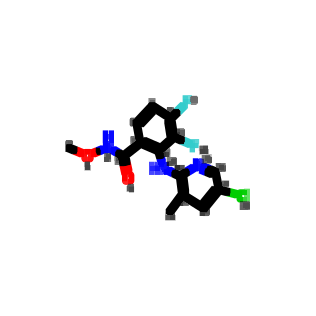 CONC(=O)c1ccc(F)c(F)c1Nc1ncc(Cl)cc1C